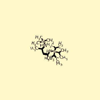 CC(=CC(C)N[Si](C)(C)C)N[Si](C(C)C)(C(C)C)C(C)C